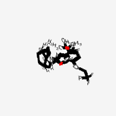 C=C[C@@]1(Nc2nc3c(C(C)(C)O)ccc(OCC(F)(F)F)n3n2)[C@@H]2CC[C@H]1CN(c1ccnc(C(F)(F)F)c1)C2